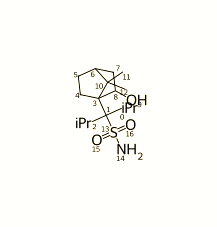 CC(C)C(C(C)C)(C12CCC(CC1O)C2(C)C)S(N)(=O)=O